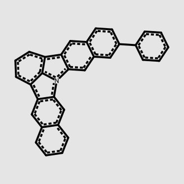 c1ccc(-c2ccc3cc4c5cccc6c7cc8ccccc8cc7n(c4cc3c2)c65)cc1